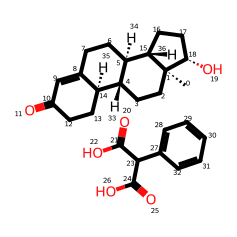 C[C@]12CC[C@H]3[C@@H](CCC4=CC(=O)CC[C@@H]43)[C@@H]1CC[C@@H]2O.O=C(O)C(C(=O)O)c1ccccc1